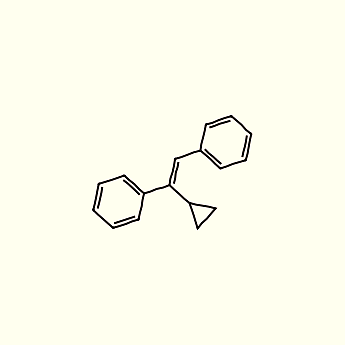 C(=C(c1ccccc1)C1CC1)c1ccccc1